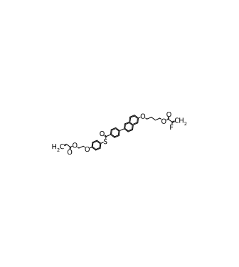 C=CC(=O)OCCOc1ccc(SC(=O)c2ccc(-c3ccc4cc(OCCCCOC(=O)C(=C)F)ccc4c3)cc2)cc1